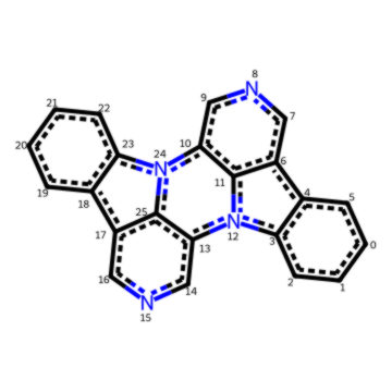 c1ccc2c(c1)c1cncc3c1n2c1cncc2c4ccccc4n3c21